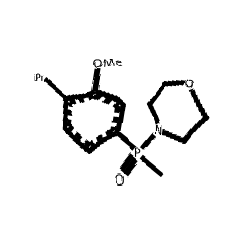 COc1cc(P(C)(=O)N2CCOCC2)ccc1C(C)C